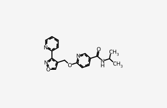 CC(C)NC(=O)c1ccc(OCc2conc2-c2ccccn2)nc1